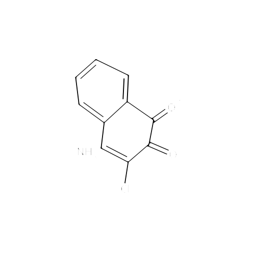 N.O=C1C(=O)c2ccccc2C=C1Cl